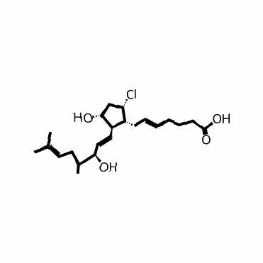 CC(C)=CCC(C)[C@H](O)C=C[C@@H]1[C@@H](CC=CCCCC(=O)O)[C@@H](Cl)C[C@H]1O